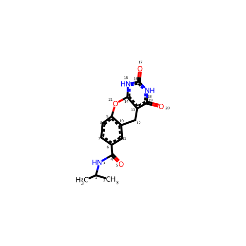 CC(C)NC(=O)c1ccc2c(c1)Cc1c([nH]c(=O)[nH]c1=O)O2